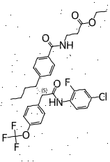 CCCC(c1ccc(C(=O)NCCC(=O)OCC)cc1)[C@H](C(=O)Nc1ccc(Cl)cc1F)c1ccc(OC(F)(F)F)cc1